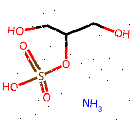 N.O=S(=O)(O)OC(CO)CO